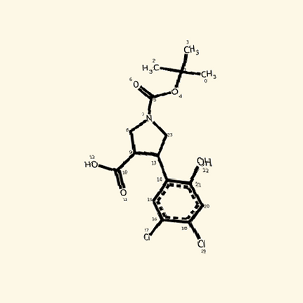 CC(C)(C)OC(=O)N1CC(C(=O)O)C(c2cc(Cl)c(Cl)cc2O)C1